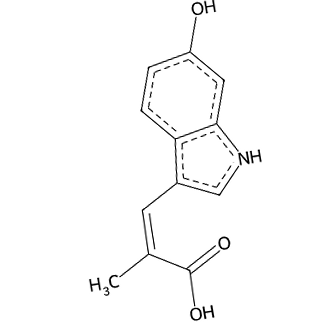 CC(=Cc1c[nH]c2cc(O)ccc12)C(=O)O